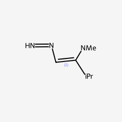 CN/C(=C\N=N)C(C)C